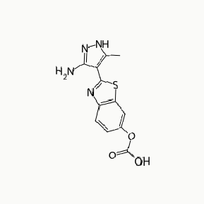 Cc1[nH]nc(N)c1-c1nc2ccc(OC(=O)O)cc2s1